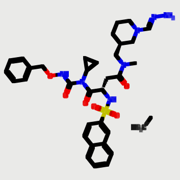 CC(=O)O.CN(C[C@H]1CCCN(C=NN)C1)C(=O)C[C@H](NS(=O)(=O)c1ccc2ccccc2c1)C(=O)N(C(=O)NOCc1ccccc1)C1CC1